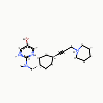 CN(C[C@H]1CC[C@H](C#CCN2CCCCC2)CC1)c1ncc(Br)cn1